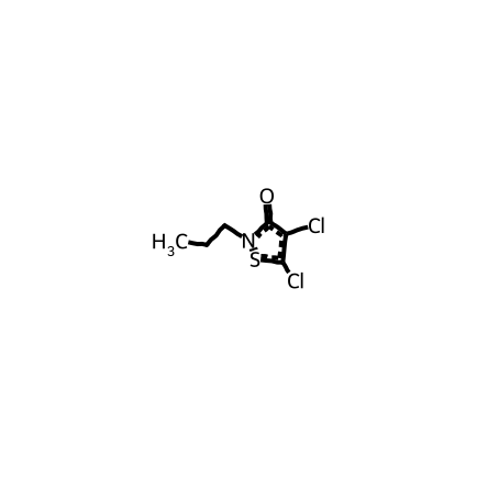 CCCn1sc(Cl)c(Cl)c1=O